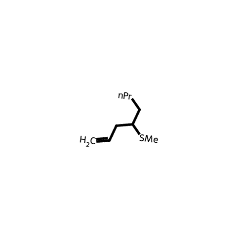 [CH2]CCCC(CC=C)SC